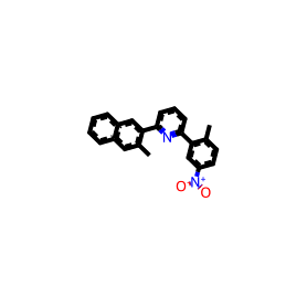 Cc1ccc([N+](=O)[O-])cc1-c1cccc(-c2cc3ccccc3cc2C)n1